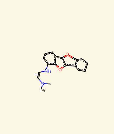 CC(C)N(C)/C=C\Nc1cccc2c1oc1c3ccccc3oc21